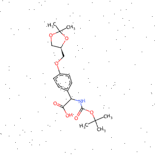 CC(C)(C)OC(=O)NC(C(=O)O)c1ccc(OC[C@H]2COC(C)(C)O2)cc1